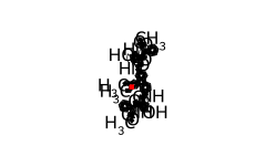 CCCCC1(CCCC)c2cc(NC(=O)[C@@H]3C[C@H](O)CN3C(=O)[C@H](NC(=O)OC)c3ccccc3)ccc2-c2ccc(NC(=O)[C@@H]3C[C@H](O)CN3C(=O)[C@H](NC(=O)OC)c3ccccc3)cc21